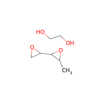 CC1OC1C1CO1.OCCO